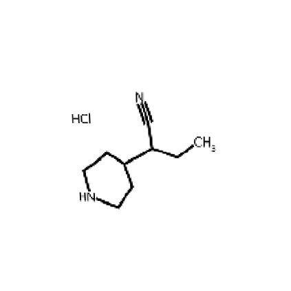 CCC(C#N)C1CCNCC1.Cl